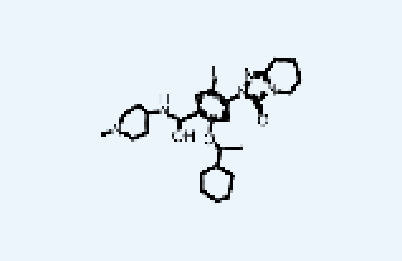 C[C@H](Oc1cc(-n2nc3n(c2=O)CCCC3)c(F)cc1C(O)NC1CCN(C)CC1)C1CCCCC1